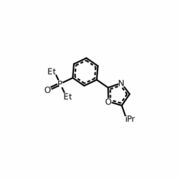 CCP(=O)(CC)c1cccc(-c2ncc(C(C)C)o2)c1